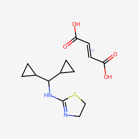 C1CSC(NC(C2CC2)C2CC2)=N1.O=C(O)/C=C/C(=O)O